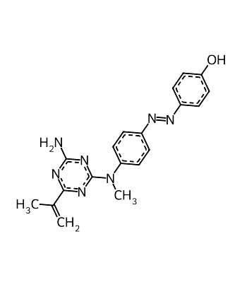 C=C(C)c1nc(N)nc(N(C)c2ccc(N=Nc3ccc(O)cc3)cc2)n1